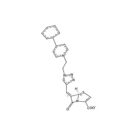 O=C([O-])C1=CS[C@@H]2/C(=C\c3cn(CC[n+]4ccc(-c5ccccc5)cc4)nn3)C(=O)N12